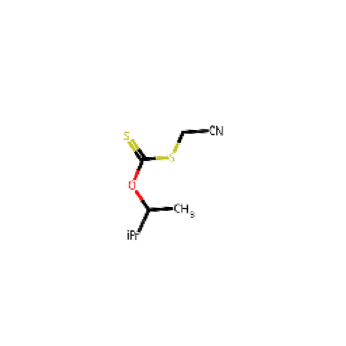 CC(C)C(C)OC(=S)SCC#N